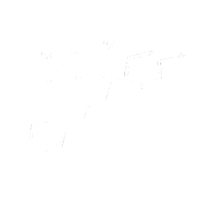 Cc1cc(Br)ccc1C(COCc1ccccc1)COS(C)(=O)=O